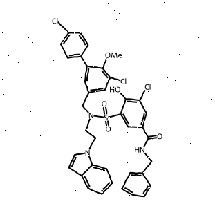 COc1c(Cl)cc(CN(CCn2ccc3ccccc32)S(=O)(=O)c2cc(C(=O)NCc3ccccc3)cc(Cl)c2O)cc1-c1ccc(Cl)cc1